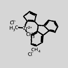 C.[CH3][Zr+2]([CH3])[C]1=C(C2c3ccccc3-c3ccccc32)C=CC1.[Cl-].[Cl-]